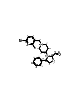 Cc1nc(Br)ccc1CN1CCC(N2C(C=O)OCC2c2ccccc2)CC1